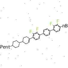 CCCCCC1CCC(C2CC=C(c3ccc(-c4ccc(-c5ccc(CCCC)c(F)c5F)cc4)c(F)c3F)CC2)CC1